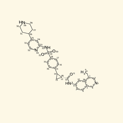 Cc1cncc2ccc(NC(=O)[C@@H]3CC3c3ccc(S(=O)(=O)Nc4cc(C5CCNCC5)ccn4)cc3)cc12